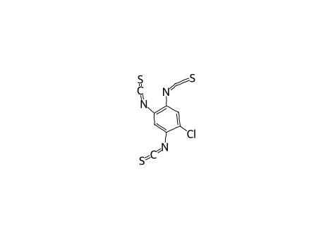 S=C=Nc1cc(N=C=S)c(N=C=S)cc1Cl